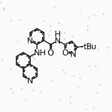 CC(C)(C)c1cc(NC(=O)c2cccnc2Nc2cccc3cnccc23)on1